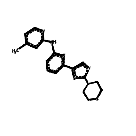 Cc1ccnc(Nc2cccc(-c3cnc(N4CCSCC4)s3)n2)c1